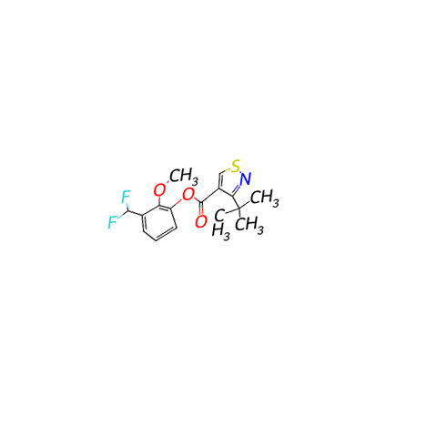 COc1c(OC(=O)c2csnc2C(C)(C)C)cccc1C(F)F